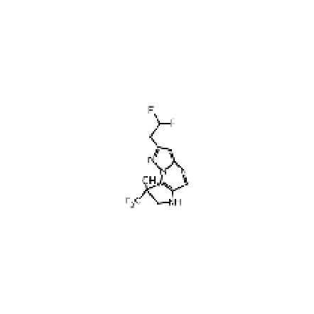 CC1(C(F)(F)F)CNc2cnc3cc(CC(F)F)nn3c21